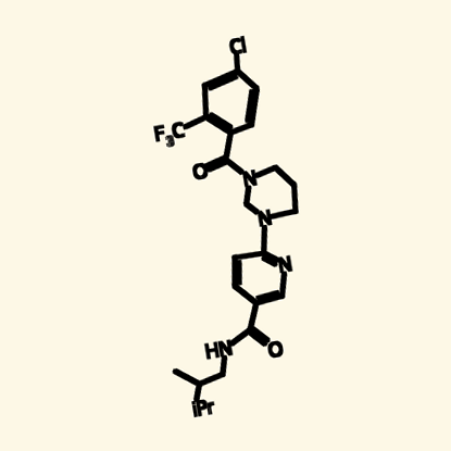 CC(C)C(C)CNC(=O)c1ccc(N2CCCN(C(=O)c3ccc(Cl)cc3C(F)(F)F)C2)nc1